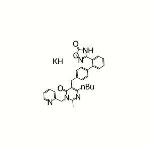 CCCCc1nc(C)n(Cc2ccccn2)c(=O)c1Cc1ccc(-c2ccccc2-c2noc(=O)[nH]2)cc1.[KH]